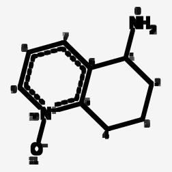 NC1CCCc2c1ccc[n+]2[O-]